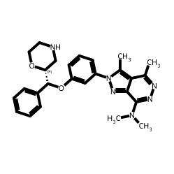 Cc1nnc(N(C)C)c2nn(-c3cccc(OC(c4ccccc4)[C@H]4CNCCO4)c3)c(C)c12